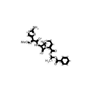 CON=C(C(=O)NC1C(=O)N2C(C(=O)OC(C)OC(=O)c3ccccc3)=CCS[C@@H]12)c1csc(N)n1